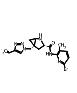 C=Cc1cn(C[C@]23CC2N[C@H](C(=O)Nc2nc(Br)ccc2C)C3)nn1